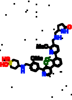 COc1cc(-c2nccc(-c3cccc(-c4ccc(CNCC5CCC(=O)N5)c(OC)n4)c3Cl)c2Cl)ccc1CNC1CCS(O)(O)CC1